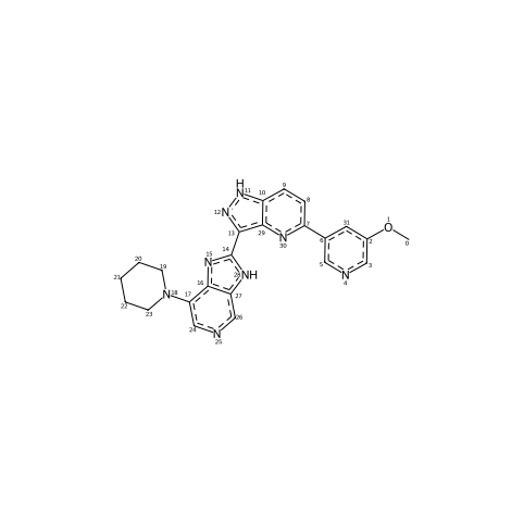 COc1cncc(-c2ccc3[nH]nc(-c4nc5c(N6CCCCC6)cncc5[nH]4)c3n2)c1